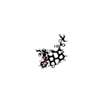 CCS(=O)(=O)c1nc(N2C3CC2CN(C(=O)OC(C)(C)C)C3)c2c3c(c(-c4c(F)ccc5sc(NC(=O)OC(C)(C)C)c(C#N)c45)c(F)c2n1)COC3